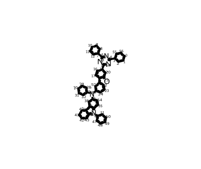 c1ccc(-c2nc(-c3ccccc3)nc(-c3ccc4c(c3)oc3ccc(N(c5ccccc5)c5ccc6c(c5)c5ccccc5n6-c5ccccc5)cc34)n2)cc1